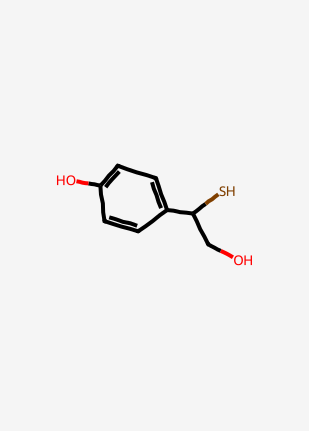 OCC(S)c1ccc(O)cc1